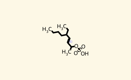 CCCCC(/C=C/C(C)OS(=O)(=O)O)CC